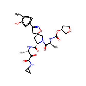 CCC[C@H](NC(=O)[C@@H]1C[C@]2(CC(c3ccc(C)c(O)c3)=NO2)CN1C(=O)[C@@H](NC(=O)O[C@H]1CCOC1)C(C)(C)C)C(=O)C(=O)NC1CC1